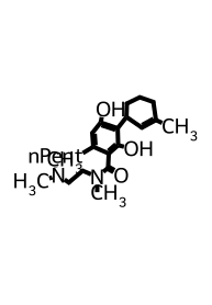 CCCCCc1cc(O)c(C2C=C(C)CCC2)c(O)c1C(=O)N(C)CCN(C)C